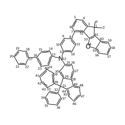 CC1(C)c2cccc(-c3ccc(N(c4ccc(-c5ccccc5)cc4)c4ccc5c(c4)C(c4ccccc4)(c4ccccc4)c4ccccc4-5)cc3)c2-c2oc3ccccc3c21